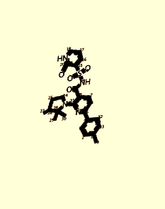 Cc1ccc(-c2ccc(C(=O)NS(=O)(=O)c3ccc[nH]c3=O)c(N3CCC(C)C3(C)C)n2)cc1